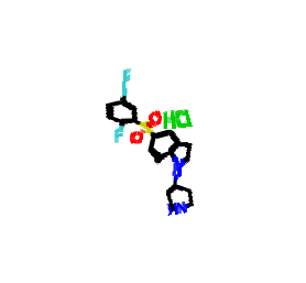 Cl.O=S(=O)(c1ccc2c(c1)CCN2C1CCNCC1)c1cc(F)ccc1F